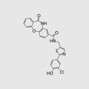 O=C(NCc1cnc(-c2ccc(O)c(Cl)c2)s1)c1ccc2c(c1)NC(=O)c1ccccc1O2